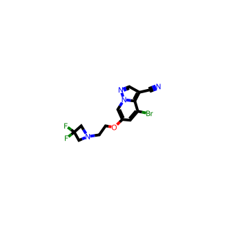 N#Cc1cnn2cc(OCCN3CC(F)(F)C3)cc(Br)c12